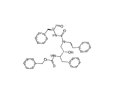 O=[C][C@H](Cc1ccccc1)NC(=O)N(CCc1ccccc1)CC(O)C(Cc1ccccc1)NC(=O)OCc1ccccc1